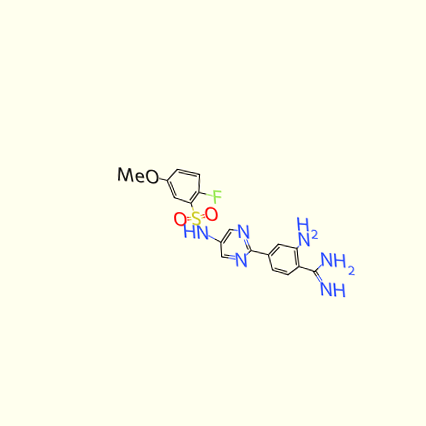 COc1ccc(F)c(S(=O)(=O)Nc2cnc(-c3ccc(C(=N)N)c(N)c3)nc2)c1